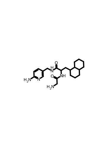 NCC(=O)NC(CC1CCCC2CCCCC21)C(=O)NCc1ccc(N)nc1